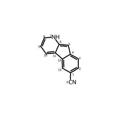 N#Cc1ccc2cc3[nH]cccc-3c2c1